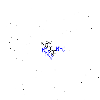 [C-]#N.[C-]#N.[C-]#N.[NH4+].[Ni+2]